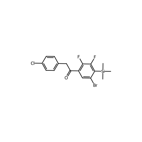 C[Si](C)(C)c1c(Br)cc(C(=O)Cc2ccc(Cl)cc2)c(F)c1F